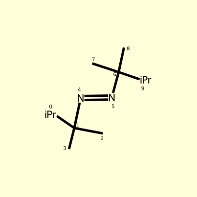 CC(C)C(C)(C)/N=N/C(C)(C)C(C)C